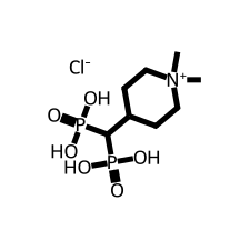 C[N+]1(C)CCC(C(P(=O)(O)O)P(=O)(O)O)CC1.[Cl-]